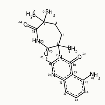 BC1(B)CCC(B)(n2c(C)nc3cccc(N)c3c2=O)C(=O)NC1=O